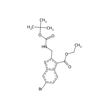 CCOC(=O)c1c(CNC(=O)OC(C)(C)C)sc2cc(Br)ccc12